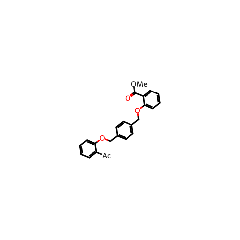 COC(=O)c1ccccc1OCc1ccc(COc2ccccc2C(C)=O)cc1